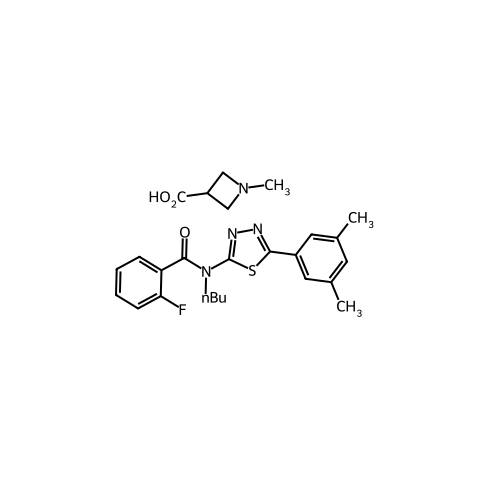 CCCCN(C(=O)c1ccccc1F)c1nnc(-c2cc(C)cc(C)c2)s1.CN1CC(C(=O)O)C1